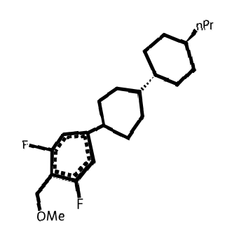 CCC[C@H]1CC[C@H](C2CCC(c3cc(F)c(COC)c(F)c3)CC2)CC1